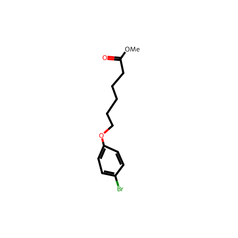 COC(=O)CCCCCOc1ccc(Br)cc1